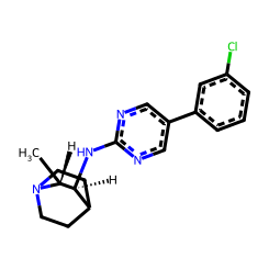 C[C@@H]1[C@@H](Nc2ncc(-c3cccc(Cl)c3)cn2)C2CCN1CC2